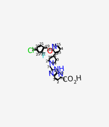 O=C(O)c1ccc2nc(CN3CCC(c4cccnc4OCc4ccc(Cl)cc4F)CC3)[nH]c2n1